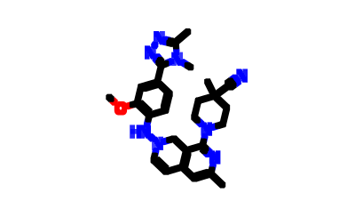 COc1cc(-c2nnc(C)n2C)ccc1NN1C=Cc2cc(C)nc(N3CCC(C)(C#N)CC3)c2C1